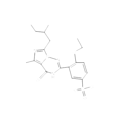 CCOc1ccc(S(=O)(=O)Cl)cc1-c1nn2c(CC(C)CC)nc(C)c2c(=O)[nH]1